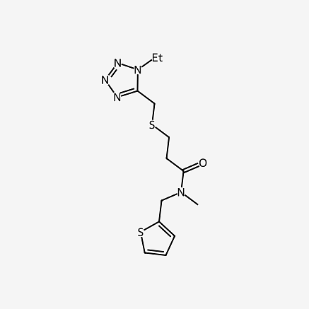 CCn1nnnc1CSCCC(=O)N(C)Cc1cccs1